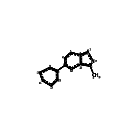 Cc1nsc2ccc(-c3cc[c]cc3)cc12